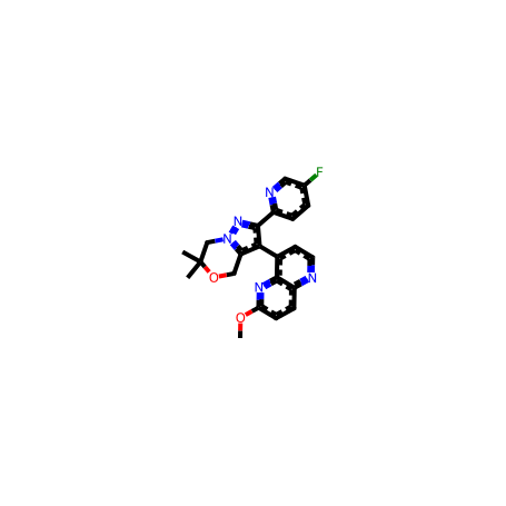 COc1ccc2nccc(-c3c(-c4ccc(F)cn4)nn4c3COC(C)(C)C4)c2n1